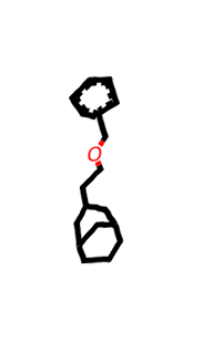 c1ccc(COCCC2CC3CCCC(C3)C2)cc1